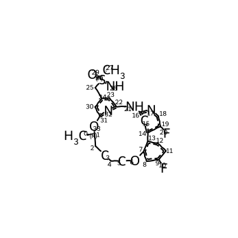 C[C@@H]1CCCCOc2cc(F)ccc2-c2cc(ncc2F)Nc2cc(C[S@](C)(=N)=O)cc(n2)O1